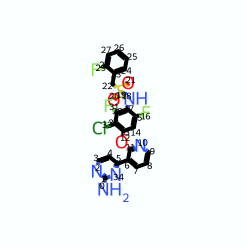 Nc1nccc(-c2cccnc2Oc2cc(F)c(NS(=O)(=O)Cc3ccccc3F)c(F)c2Cl)n1